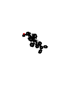 c1ccc(-c2cccc(-n3c4ccccc4c4c(-c5nnc(-c6cccc7c6c6ccccc6n7-c6cc(-c7ccccc7)cc(-c7ccccc7)c6)n5-c5ccccc5)cccc43)c2)cc1